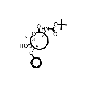 C[C@@H]1OC(=O)[C@@H](NC(=O)OC(C)(C)C)CCCC[C@H](Oc2ccccc2)[C@H]1O